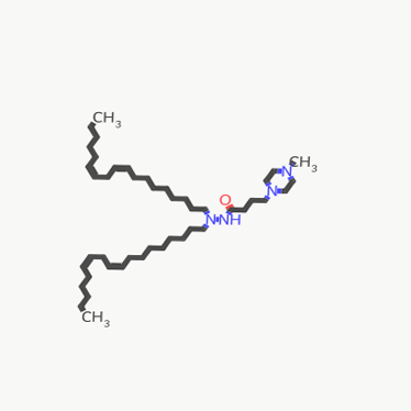 CCCCC/C=C\C/C=C\CCCCCCCCN(CCCCCCCC/C=C\C/C=C\CCCCC)NC(=O)CCCN1CCN(C)CC1